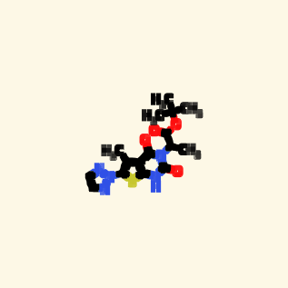 Cc1c(-n2nccn2)sc2[nH]c(=O)n(C(C)C(=O)OC(C)(C)C)c(=O)c12